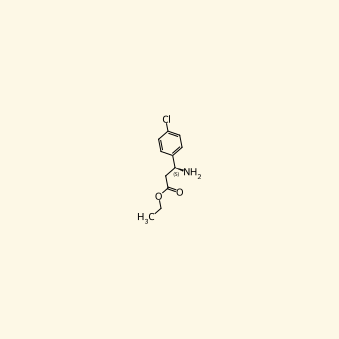 CCOC(=O)C[C@H](N)c1ccc(Cl)cc1